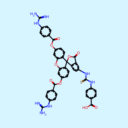 N=C(N)Nc1ccc(C(=O)Oc2ccc3c(c2)Oc2cc(OC(=O)c4ccc(NC(=N)N)cc4)ccc2C32OC(=O)c3cc(NC(=S)Nc4ccc(C(=O)O)cc4)ccc32)cc1